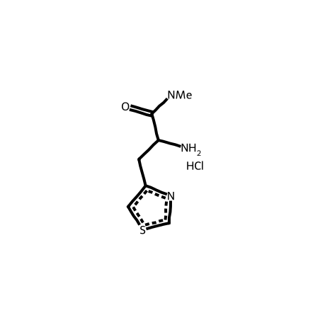 CNC(=O)C(N)Cc1cscn1.Cl